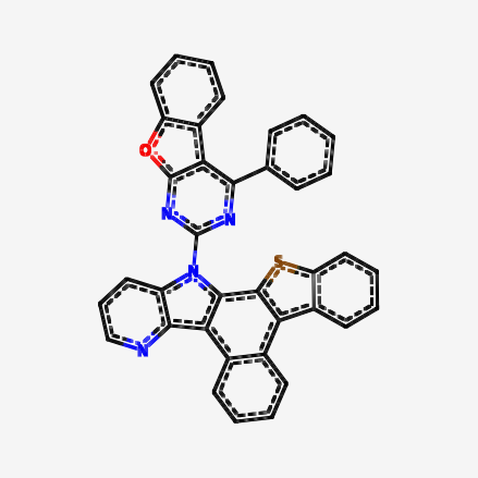 c1ccc(-c2nc(-n3c4cccnc4c4c5ccccc5c5c6ccccc6sc5c43)nc3oc4ccccc4c23)cc1